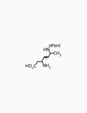 CCCCCNC(C)/C=C/C(N)CC(=O)O